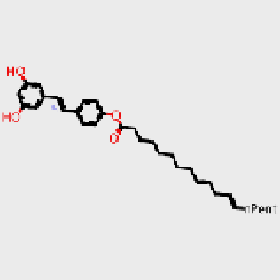 CCCCCC=CCC=CCCCCCCCC(=O)Oc1ccc(/C=C/c2cc(O)cc(O)c2)cc1